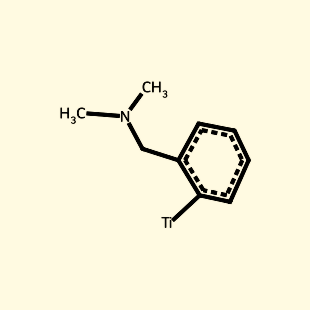 CN(C)Cc1cccc[c]1[Ti]